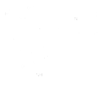 CCN(CC)CCCc1cc(S(N)(=O)=O)ccc1C(=O)O